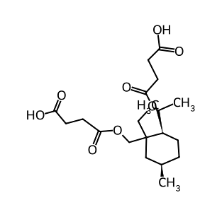 CC(C)[C@H]1CC[C@@H](C)CC1(COC(=O)CCC(=O)O)COC(=O)CCC(=O)O